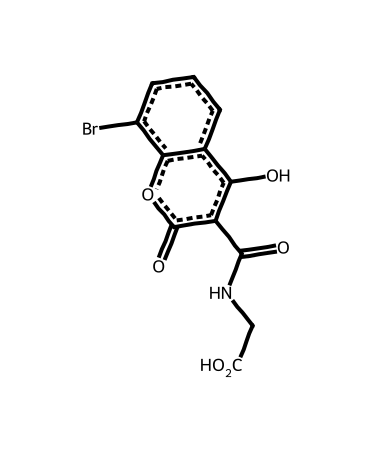 O=C(O)CNC(=O)c1c(O)c2cccc(Br)c2oc1=O